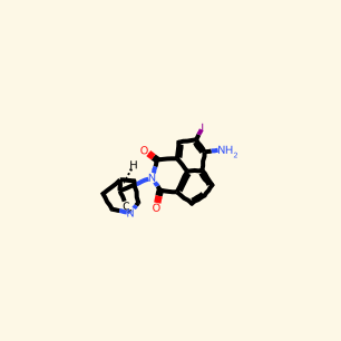 Nc1c(I)cc2c3c(cccc13)C(=O)N([C@H]1CN3CCC1CC3)C2=O